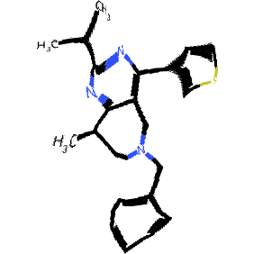 CC(C)c1nc(-c2ccsc2)c2c(n1)C(C)CN(Cc1ccccc1)C2